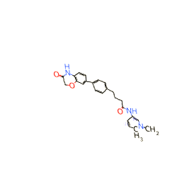 C=N/C=C(\C=C/C)NC(=O)CCCc1ccc(-c2ccc3c(c2)OCC(=O)N3)cc1